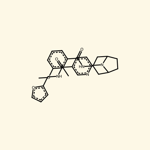 COc1cccc(C(=O)NC2CC3CCC(C2)N3c2ccc(C(=O)NCc3ccco3)cn2)c1C